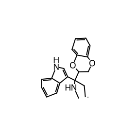 [CH2]CC(NC)(c1c[nH]c2ccccc12)C1COc2ccccc2O1